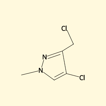 Cn1cc(Cl)c(CCl)n1